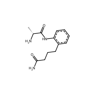 C[C@@H](N)C(=O)Nc1ccccc1CCCC(N)=O